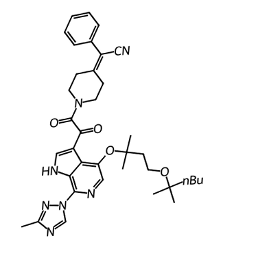 CCCCC(C)(C)OCCC(C)(C)Oc1cnc(-n2cnc(C)n2)c2[nH]cc(C(=O)C(=O)N3CCC(=C(C#N)c4ccccc4)CC3)c12